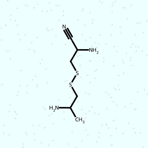 CC(N)CSSCC(N)C#N